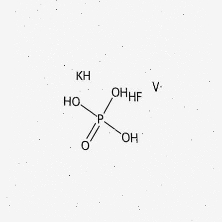 F.O=P(O)(O)O.[KH].[V]